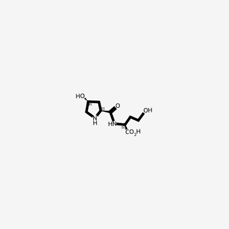 O=C(O)[C@H](CCO)NC(=O)[C@@H]1C[C@@H](O)CN1